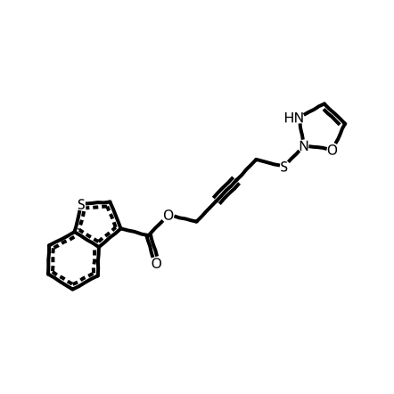 O=C(OCC#CCSN1NC=CO1)c1csc2ccccc12